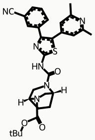 Cc1cc(-c2sc(NC(=O)N3C[C@H]4CC[C@@H]3CN4C(=O)OC(C)(C)C)nc2-c2cccc(C#N)c2)cc(C)n1